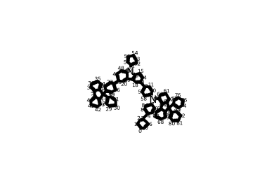 c1ccc(-c2ccc(N(c3ccc(-c4ccc5c(c4)c4cc(-c6ccc(C7(c8ccccc8)c8ccccc8-c8ccccc87)cc6)ccc4n5-c4ccccc4)cc3)c3cccc4c3-c3ccccc3C4(c3ccccc3)c3ccccc3)cc2)cc1